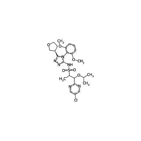 COc1cccc(OC)c1-n1c(NS(=O)(=O)C(C)C(OC(C)C)c2ncc(Cl)cn2)nnc1[C@@H]1CCOC1